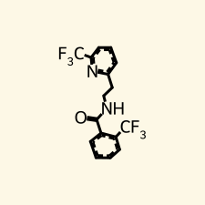 O=C(NCCc1cccc(C(F)(F)F)n1)c1ccccc1C(F)(F)F